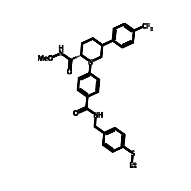 CCSc1ccc(CNC(=O)c2ccc(N3CC(c4ccc(C(F)(F)F)cc4)CC[C@H]3C(=O)NOC)cc2)cc1